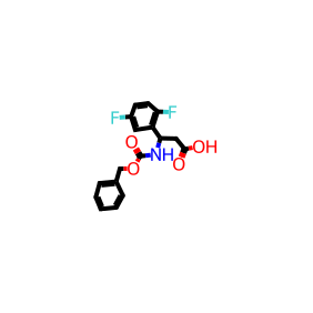 O=C(O)CC(NC(=O)OCc1ccccc1)c1cc(F)ccc1F